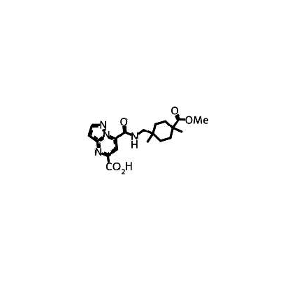 COC(=O)C1(C)CCC(C)(CNC(=O)c2cc(C(=O)O)nc3ccnn23)CC1